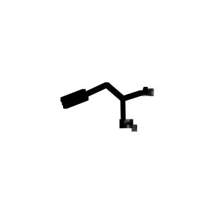 C#CCC(N)C(C)=O